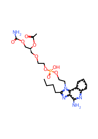 CCCCc1nc2c(N)nc3ccccc3c2n1CCOP(=O)(O)OCCOC[C@@H](COC(N)=O)OC(C)=O